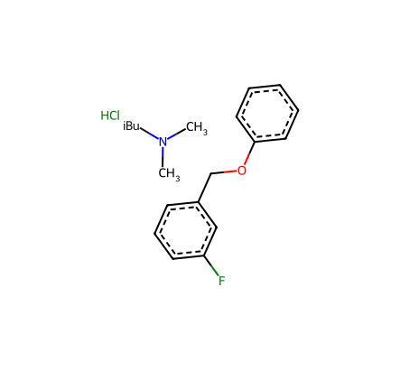 CCC(C)N(C)C.Cl.Fc1cccc(COc2ccccc2)c1